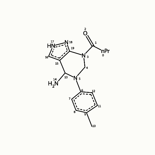 CCCC(=O)N1CN(c2ccc(C)cc2)C(N)c2c[nH]nc21